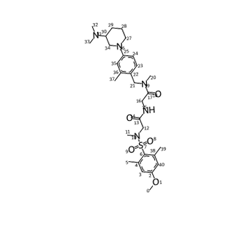 COc1cc(C)c(S(=O)(=O)N(C)CC(=O)NCC(=O)N(C)Cc2ccc(N3CCCC(N(C)C)C3)cc2C)c(C)c1